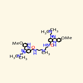 COc1ccc2c(c1)-c1nn(CCN(C)C)c3ccc(C(=O)NCCCN(C)CCCNC(=O)c4ccc5c6c(nn5CCN(C)C)-c5cc(OC)ccc5Nc46)c(c13)N2